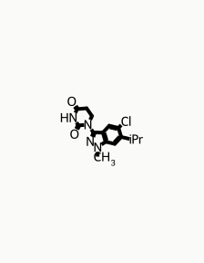 CC(C)c1cc2c(cc1Cl)c(N1CCC(=O)NC1=O)nn2C